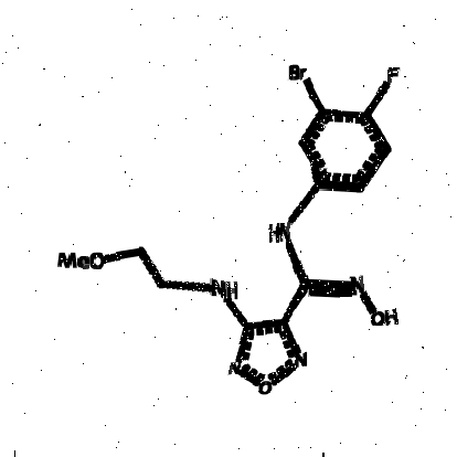 COCCNc1nonc1/C(=N\O)Nc1ccc(F)c(Br)c1